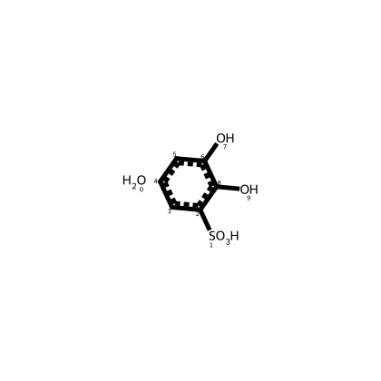 O.O=S(=O)(O)c1cccc(O)c1O